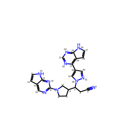 N#CCC(C1CCN(c2ncc3cc[nH]c3n2)C1)n1cc(-c2ncnc3[nH]ccc23)cn1